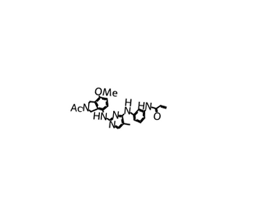 C=CC(=O)Nc1cccc(Nc2nc(Nc3ccc(OC)c4c3CN(C(C)=O)C4)ncc2C)c1